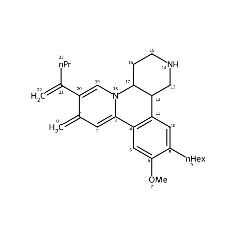 C=C1C=C2c3cc(OC)c(CCCCCC)cc3C3CNCCC3N2C=C1C(=C)CCC